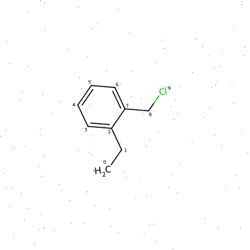 [CH2]Cc1ccccc1CCl